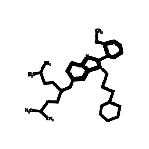 COc1ccccc1-c1nc2ccc(CN(CCC(C)C)CCC(C)C)cc2n1CCCN1CCCCC1